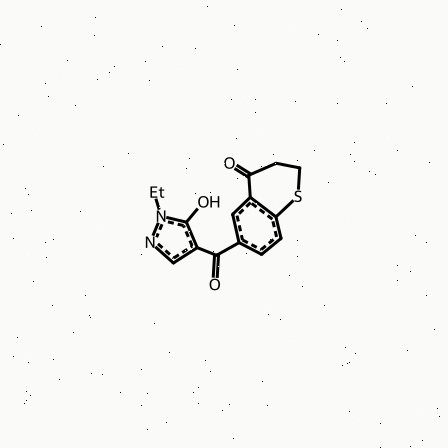 CCn1ncc(C(=O)c2ccc3c(c2)C(=O)CCS3)c1O